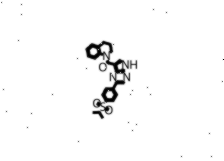 CC(C)S(=O)(=O)c1ccc(-c2cnc3[nH]cc(C(=O)N4CCCc5ccccc54)c3n2)cc1